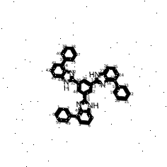 c1ccc(-c2cccc3[nH]c(-c4cc(-c5nc6c(-c7ccccc7)cccc6[nH]5)cc(-c5nc6c(-c7ccccc7)cccc6[nH]5)c4)nc23)cc1